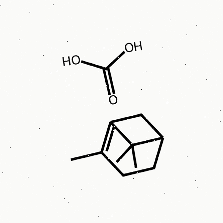 CC1=C2CC(CC1)C2(C)C.O=C(O)O